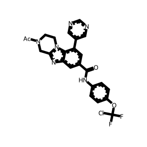 CC(=O)N1CCn2c(nc3cc(C(=O)Nc4ccc(OC(F)(F)Cl)cc4)cc(-c4cncnc4)c32)C1